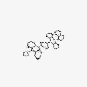 c1ccc(-c2c3ccccc3c(-c3ccc(-c4c5ccccc5c(-c5cccc6ccccc56)c5ncccc45)cc3)c3cccnc23)cc1